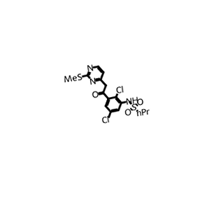 CCCS(=O)(=O)Nc1cc(Cl)cc(C(=O)Cc2ccnc(SC)n2)c1Cl